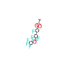 Fc1cc(C2OCC(C3CC3)CO2)ccc1-c1cc(F)c(C(F)(F)Oc2cc(F)c(F)c(F)c2)c(F)c1